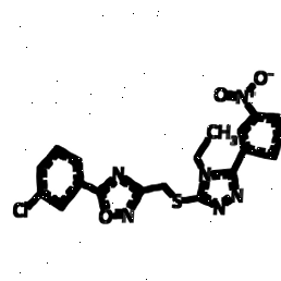 CCn1c(SCc2noc(-c3cccc(Cl)c3)n2)nnc1-c1cccc([N+](=O)[O-])c1